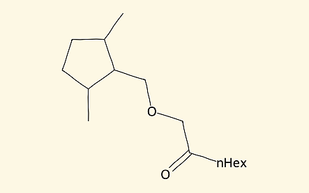 CCCCCCC(=O)COCC1C(C)CCC1C